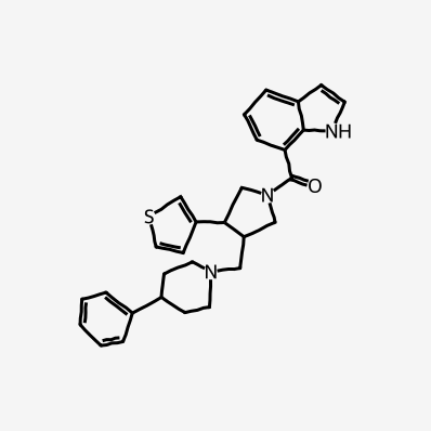 O=C(c1cccc2cc[nH]c12)N1CC(CN2CCC(c3ccccc3)CC2)C(c2ccsc2)C1